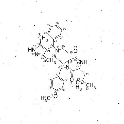 COc1ccc(CN2C(=O)C(CC(C)C)NC(=O)C23CCN(C(c2ccccc2)c2c(C)n[nH]c2C)CC3)cc1